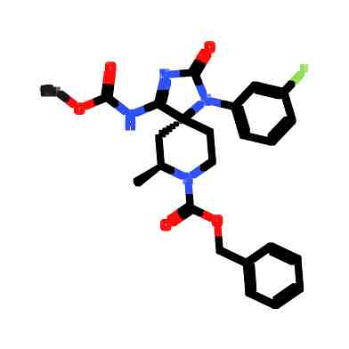 C[C@H]1C[C@]2(CCN1C(=O)OCc1ccccc1)C(NC(=O)OC(C)(C)C)=NC(=O)N2c1cccc(F)c1